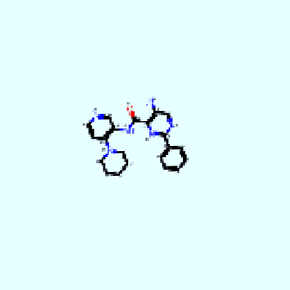 Nc1cnc(-c2ccccc2)nc1C(=O)Nc1cnccc1N1CCCCC1